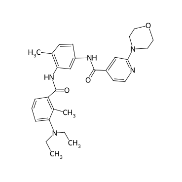 CCN(CC)c1cccc(C(=O)Nc2cc(NC(=O)c3ccnc(N4CCOCC4)c3)ccc2C)c1C